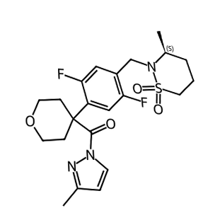 Cc1ccn(C(=O)C2(c3cc(F)c(CN4[C@@H](C)CCCS4(=O)=O)cc3F)CCOCC2)n1